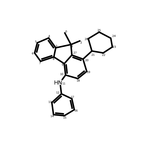 CC1(C)c2ccccc2-c2c(Nc3ccccc3)ccc(C3CCCCC3)c21